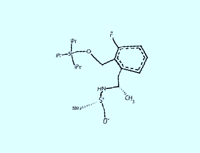 CC(C)[Si](OCc1c(F)cccc1[C@H](C)N[S@+]([O-])C(C)(C)C)(C(C)C)C(C)C